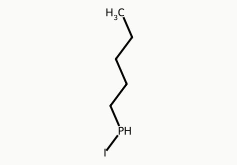 CCCCCPI